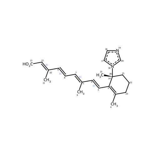 CC1=C(/C=C/C(C)=C/C=C/C(C)=C/C(=O)O)[C@](C)(n2ccnc2)CCC1